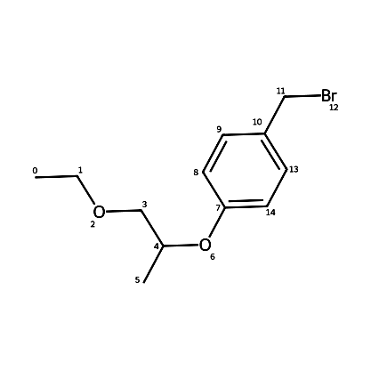 CCOCC(C)Oc1ccc(CBr)cc1